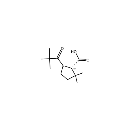 CC(C)(C)C(=O)N1CCC(C)(C)[C@H]1C(=O)O